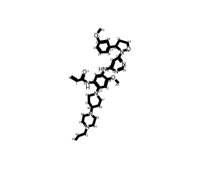 C=CC(=O)Nc1cc(Nc2cc(N3OCCC3c3cccc(OC)c3)ncn2)c(OC)cc1N1CCC(N2CCN(CCC)CC2)CC1